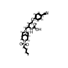 CCCCS(=O)(=O)N1CC2CC(CN(CC(CCOc3ccc(C#N)cc3)NC(=O)O)C2)C1